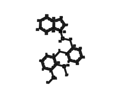 COc1cccc(Cc2ccccc2COn2ccc3ccccc32)c1OC